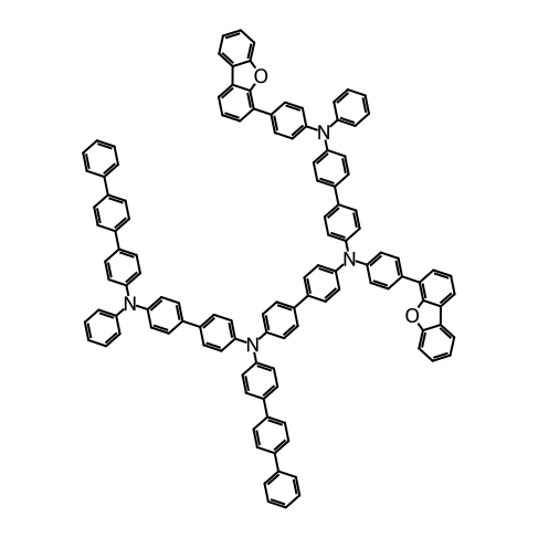 c1ccc(-c2ccc(-c3ccc(N(c4ccccc4)c4ccc(-c5ccc(N(c6ccc(-c7ccc(-c8ccccc8)cc7)cc6)c6ccc(-c7ccc(N(c8ccc(-c9ccc(N(c%10ccccc%10)c%10ccc(-c%11cccc%12c%11oc%11ccccc%11%12)cc%10)cc9)cc8)c8ccc(-c9cccc%10c9oc9ccccc9%10)cc8)cc7)cc6)cc5)cc4)cc3)cc2)cc1